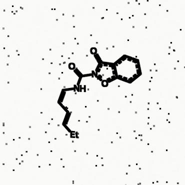 CC/C=C/C=C\NC(=O)n1oc2ccccc2c1=O